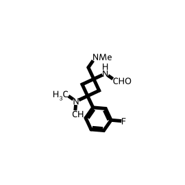 CNCC1(NC=O)CC(c2cccc(F)c2)(N(C)C)C1